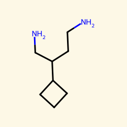 NCCC(CN)C1CCC1